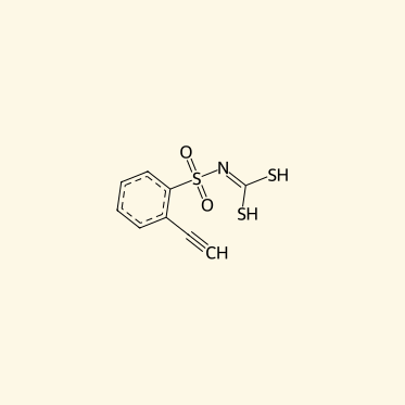 C#Cc1ccccc1S(=O)(=O)N=C(S)S